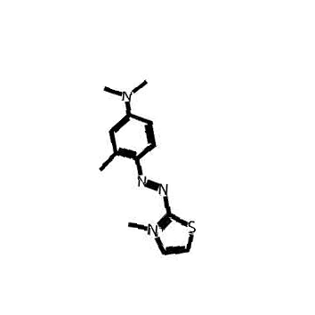 Cc1cc(N(C)C)ccc1/N=N/c1scc[n+]1C